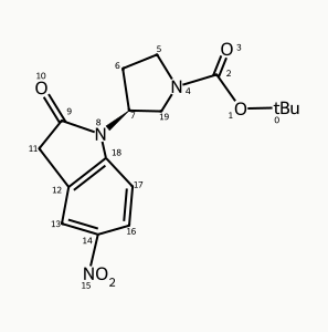 CC(C)(C)OC(=O)N1CC[C@H](N2C(=O)Cc3cc([N+](=O)[O-])ccc32)C1